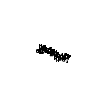 CN1CCN(c2ccc(NC(=O)NC3[C@H]4Oc5ccc(Oc6ccnc7c6CCC(=O)N7)cc5[C@@H]34)cc2C(F)(F)F)CC1